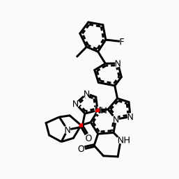 Cc1cccc(F)c1-c1ccc(-c2cnn3c4c(c(C5CC6CCC(C5)N6C(=O)c5nnc[nH]5)nc23)C(=O)CCN4)cn1